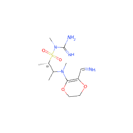 CC([C@H](C)S(=O)(=O)N(C)C(=N)N)N(C)C1=C(C=N)OCCO1